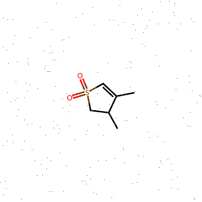 CC1=CS(=O)(=O)CC1C